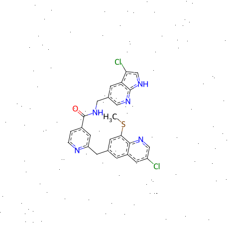 CSc1cc(Cc2cc(C(=O)NCc3cnc4[nH]cc(Cl)c4c3)ccn2)cc2cc(Cl)cnc12